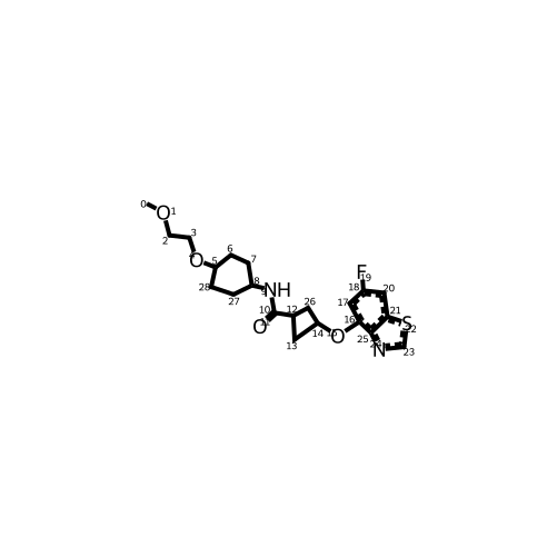 COCCOC1CCC(NC(=O)C2CC(Oc3cc(F)cc4scnc34)C2)CC1